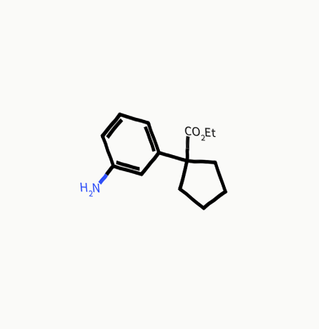 CCOC(=O)C1(c2cccc(N)c2)CCCC1